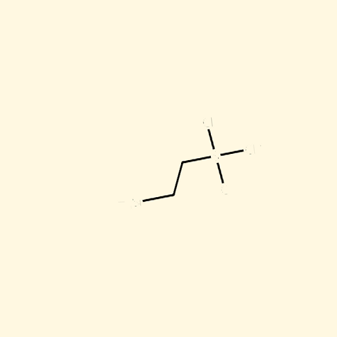 [SiH3]CCS(Cl)(Cl)Cl